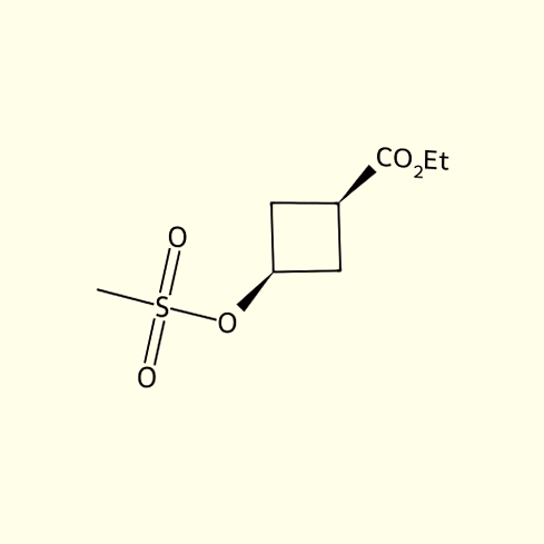 CCOC(=O)[C@H]1C[C@@H](OS(C)(=O)=O)C1